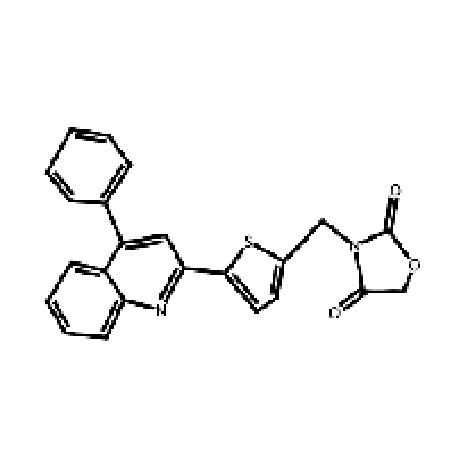 O=C1COC(=O)N1Cc1ccc(-c2cc(-c3ccccc3)c3ccccc3n2)s1